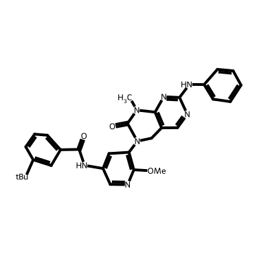 COc1ncc(NC(=O)c2cccc(C(C)(C)C)c2)cc1N1Cc2cnc(Nc3ccccc3)nc2N(C)C1=O